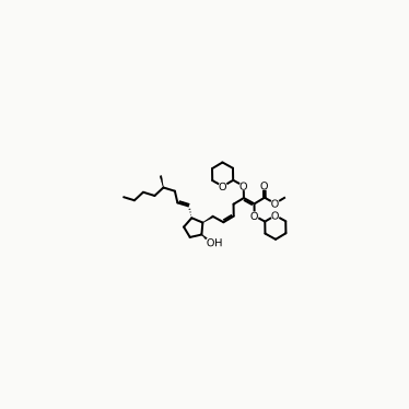 CCCC[C@@H](C)C/C=C/[C@H]1CC[C@H](O)[C@@H]1C/C=C\C/C(OC1CCCCO1)=C(\OC1CCCCO1)C(=O)OC